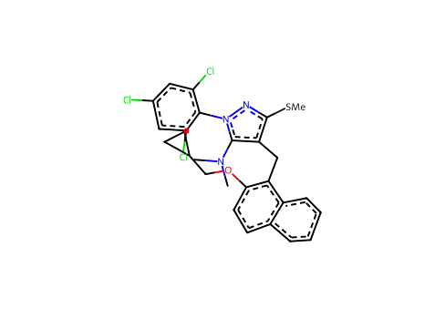 CSc1nn(-c2c(Cl)cc(Cl)cc2Cl)c(N(C)C)c1Cc1c(OCC2CC2)ccc2ccccc12